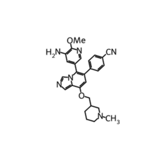 COc1ncc(-c2c(-c3ccc(C#N)cc3)cc(OCC3CCCN(C)C3)c3cncn23)cc1N